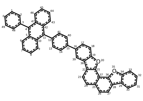 c1ccc(-c2c3ccccc3c(-c3ccc(-c4ccc5oc6c(ccc7ccc8c9ccccc9oc8c76)c5c4)cc3)c3ccccc23)cc1